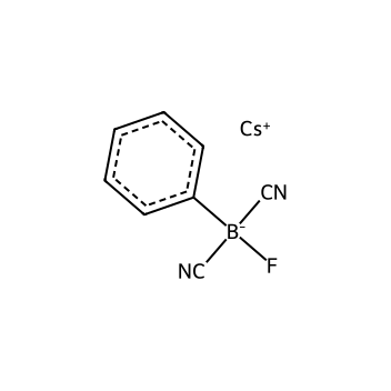 N#C[B-](F)(C#N)c1ccccc1.[Cs+]